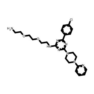 NCCOCCOCCNc1nc(-c2ccc(Cl)cc2)nc(N2CCN(c3ccccn3)CC2)n1